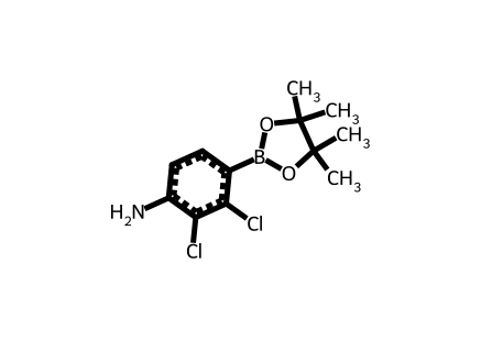 CC1(C)OB(c2ccc(N)c(Cl)c2Cl)OC1(C)C